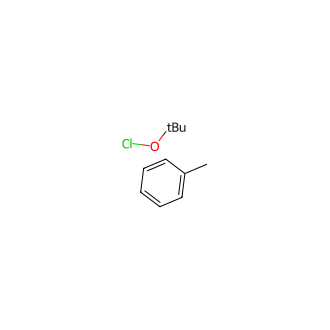 CC(C)(C)OCl.Cc1ccccc1